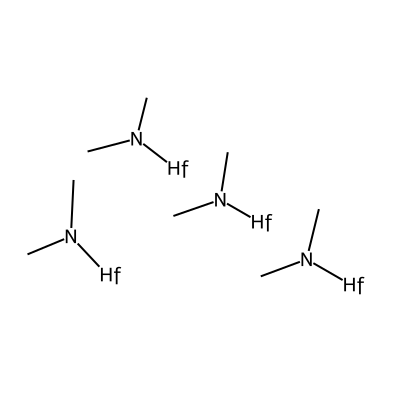 C[N](C)[Hf].C[N](C)[Hf].C[N](C)[Hf].C[N](C)[Hf]